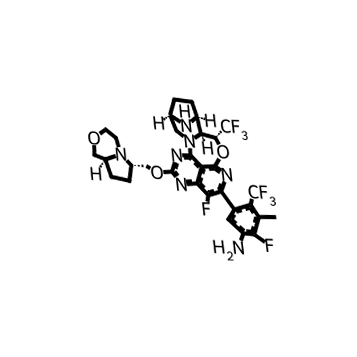 Cc1c(F)c(N)cc(-c2nc3c4c(nc(OC[C@@H]5CC[C@H]6COCCN65)nc4c2F)N2C[C@H]4CC[C@H](N4)[C@H]2[C@H](C(F)(F)F)O3)c1C(F)(F)F